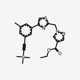 CCOC(=O)c1cnn(Cc2nc(-c3cc(C)cc(C#C[Si](C)(C)C)c3)cs2)c1